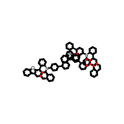 c1cc(-c2ccc(N(c3ccccc3-c3cccc4c3oc3ccccc34)c3cccc4ccccc34)cc2)cc(-c2cccc3ccc(-c4cccc5c4oc4c(-c6ccccc6N(c6ccc(-c7ccccc7-n7c8ccccc8c8ccccc87)cc6)c6cccc(-c7cccc8ccccc78)c6)cccc45)cc23)c1